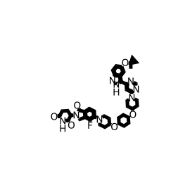 CC1(Oc2ccc3n[nH]c(-c4cc(N5CCC(O[C@H]6CC[C@H](OC7CCN(c8ccc9c(c8F)CN(C8CCC(=O)NC8=O)C9=O)CC7)CC6)CC5)ncn4)c3c2)CC1